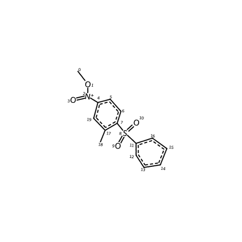 CO[N+](=O)c1ccc(S(=O)(=O)c2ccccc2)c(C)c1